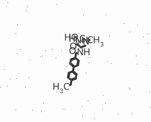 CCc1ccc(-c2ccc(C(=O)NC(CN(C)C)C(=O)NO)cc2)cc1